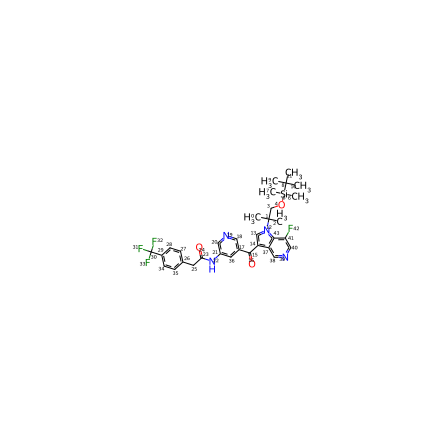 CC(C)(CO[Si](C)(C)C(C)(C)C)n1cc(C(=O)c2cncc(NC(=O)Cc3ccc(C(F)(F)F)cc3)c2)c2cncc(F)c21